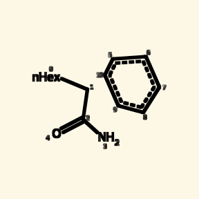 CCCCCCCC(N)=O.c1ccccc1